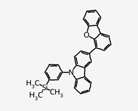 C[Si](C)(C)c1cccc(-n2c3ccccc3c3cc(-c4cccc5c4oc4ccccc45)ccc32)c1